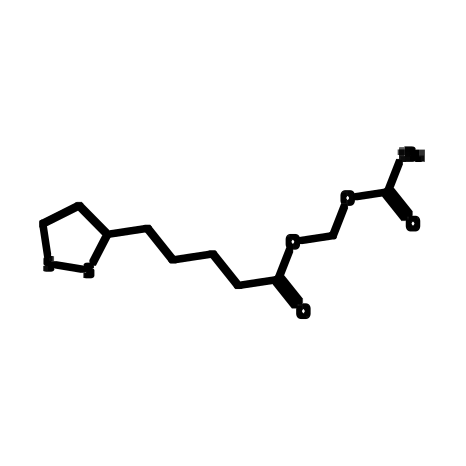 CC(C)(C)C(=O)OCOC(=O)CCCCC1CCSS1